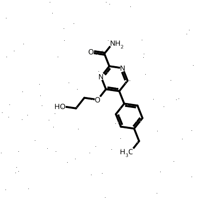 CCc1ccc(-c2[c]nc(C(N)=O)nc2OCCO)cc1